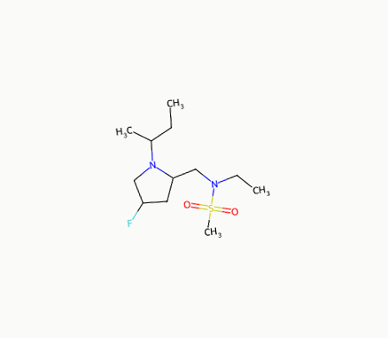 CCC(C)N1CC(F)CC1CN(CC)S(C)(=O)=O